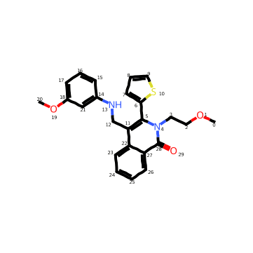 COCCn1c(-c2cccs2)c(CNc2cccc(OC)c2)c2ccccc2c1=O